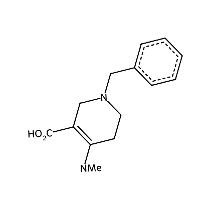 CNC1=C(C(=O)O)CN(Cc2ccccc2)CC1